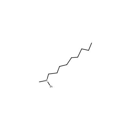 CCCCCCCCC[P](C)[Pr]